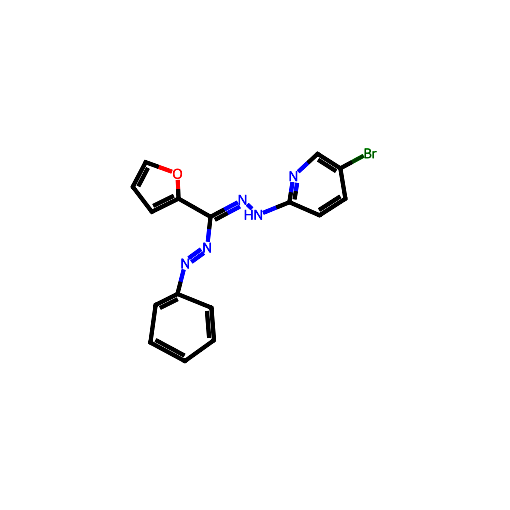 Brc1ccc(NN=C(N=Nc2ccccc2)c2ccco2)nc1